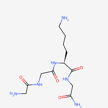 NCCCC[C@H](NC(=O)CNC(=O)CN)C(=O)NCC(N)=O